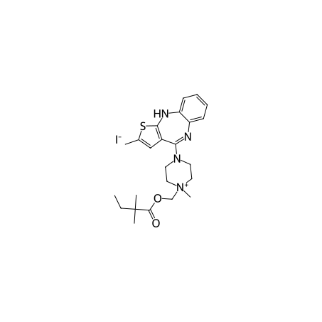 CCC(C)(C)C(=O)OC[N+]1(C)CCN(C2=Nc3ccccc3Nc3sc(C)cc32)CC1.[I-]